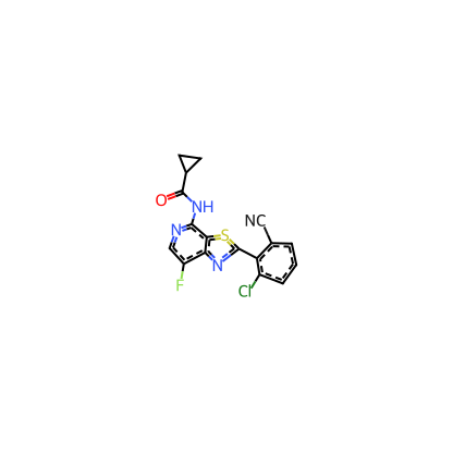 N#Cc1cccc(Cl)c1-c1nc2c(F)cnc(NC(=O)C3CC3)c2s1